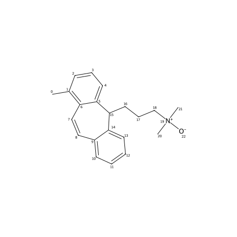 Cc1cccc2c1C=Cc1ccccc1C2CCC[N+](C)(C)[O-]